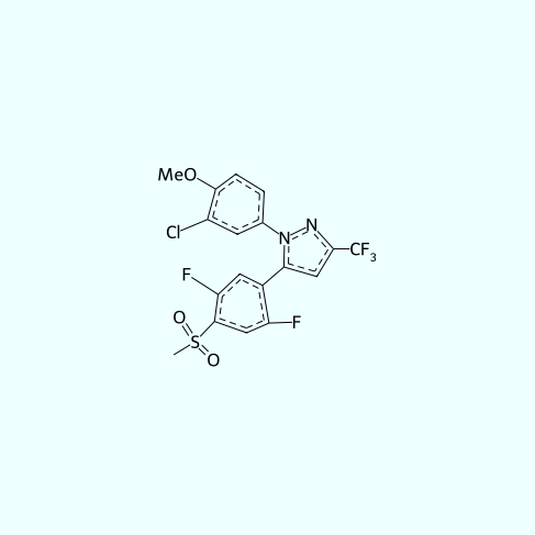 COc1ccc(-n2nc(C(F)(F)F)cc2-c2cc(F)c(S(C)(=O)=O)cc2F)cc1Cl